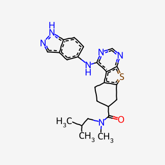 CC(C)CN(C)C(=O)C1CCc2c(sc3ncnc(Nc4ccc5[nH]ncc5c4)c23)C1